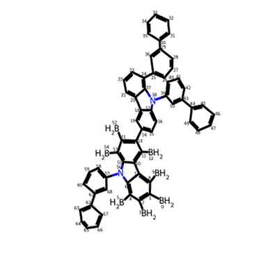 Bc1c(B)c(B)c2c(c1B)c1c(B)c(-c3ccc4c(c3)c3cccc(-c5cccc(-c6ccccc6)c5)c3n4-c3cccc(-c4ccccc4)c3)c(B)c(B)c1n2-c1cccc(-c2ccccc2)c1